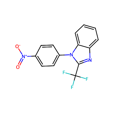 O=[N+]([O-])c1ccc(-n2c(C(F)(F)F)nc3ccccc32)cc1